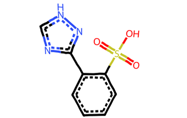 O=S(=O)(O)c1ccccc1-c1nc[nH]n1